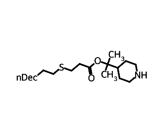 CCCCCCCCCCCCSCCC(=O)OC(C)(C)C1CCNCC1